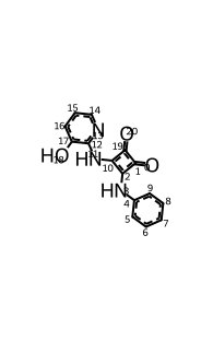 O=c1c(Nc2ccccc2)c(Nc2ncccc2O)c1=O